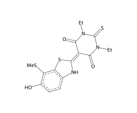 CCN1C(=O)C(=C2Nc3ccc(O)c(SC)c3S2)C(=O)N(CC)C1=S